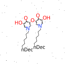 CCCCCCCCCCCCCCCCn1cc(O)c(=O)c(Oc2cn(CCCCCCCCCCCCCCCC)cc(O)c2=O)c1